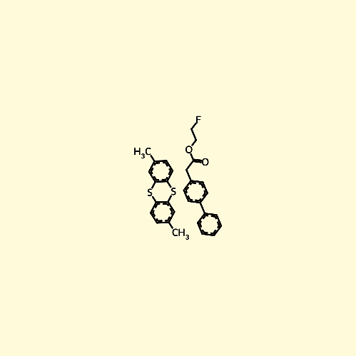 Cc1ccc2c(c1)Sc1ccc(C)cc1S2.O=C(Cc1ccc(-c2ccccc2)cc1)OCCF